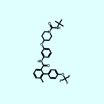 Cc1cccc(C(=O)Nc2cccc(OC3CCN(C(=O)NC(C)(C)C)CC3)c2)c1-c1ccc(OC(F)(F)F)cc1